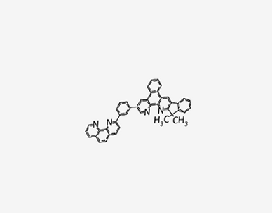 CC1(C)c2ccccc2-c2cc3c4ccccc4c4cc(-c5cccc(-c6ccc7ccc8cccnc8c7n6)c5)cnc4c3nc21